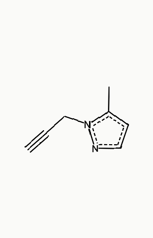 C#CCn1nccc1C